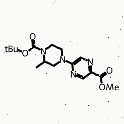 COC(=O)c1cnc(N2CCN(C(=O)OC(C)(C)C)C(C)C2)cn1